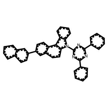 c1ccc(-c2nc(-c3ccccc3)nc(-n3c4ccccc4c4c5ccc(-c6ccc7ccccc7c6)cc5ccc43)n2)cc1